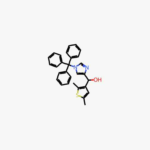 Cc1cc(C(O)c2cn(C(c3ccccc3)(c3ccccc3)c3ccccc3)cn2)c(C)s1